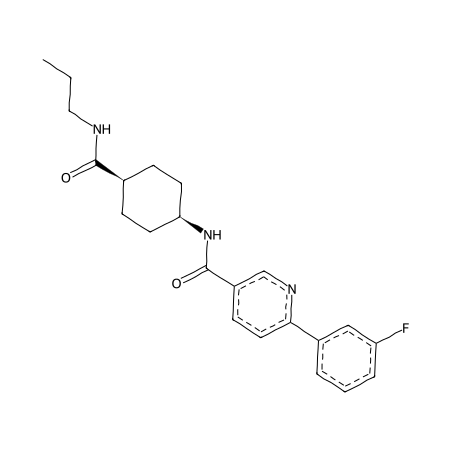 CCCNC(=O)[C@H]1CC[C@@H](NC(=O)c2ccc(-c3cccc(F)c3)nc2)CC1